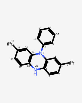 CC(C)c1ccc2c(c1)N(c1ccccc1)c1cc(C(C)C)ccc1N2